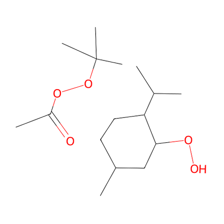 CC(=O)OOC(C)(C)C.CC1CCC(C(C)C)C(OO)C1